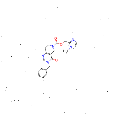 Cn1ccnc1COC(=O)N1CCc2ncn(Cc3ccccc3)c(=O)c2C1